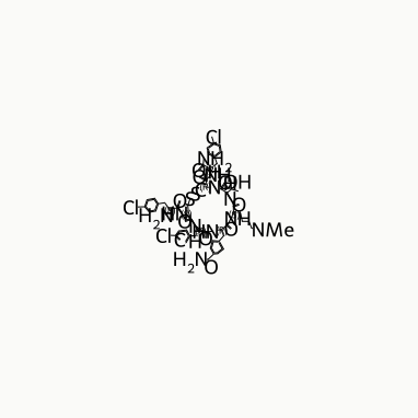 CNCCCC[C@@H]1NC(=O)[C@@H](Cc2ccc(C(N)=O)cc2)NC(=O)[C@H](Cc2ccc(Cl)cc2)NC(=O)[C@H](NC(=O)[C@@H](N)Cc2ccc(Cl)cc2)CSSC[C@@H](C(=O)N[C@H](Cc2ccc(Cl)cc2)C(N)=O)NC(=O)C(C(C)O)NC1=O